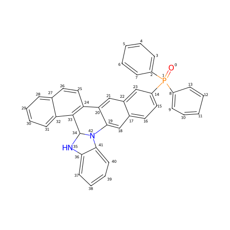 O=P(c1ccccc1)(c1ccccc1)c1ccc2cc3c(cc2c1)-c1ccc2ccccc2c1C1Nc2ccccc2N31